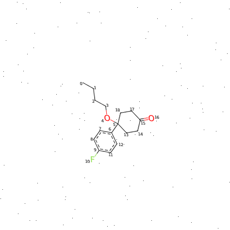 CCCCOC1(c2ccc(F)cc2)CCC(=O)CC1